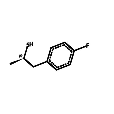 C[C@H](S)Cc1ccc(F)cc1